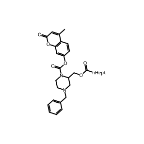 CCCCCCCC(=O)OCC1CN(Cc2ccccc2)CCN1C(=O)Oc1ccc2c(C)cc(=O)oc2c1